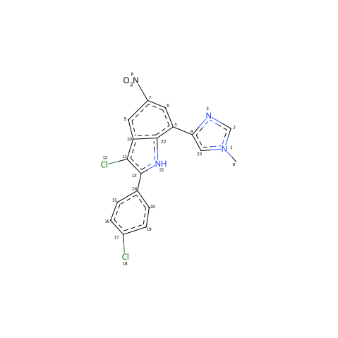 Cn1cnc(-c2cc([N+](=O)[O-])cc3c(Cl)c(-c4ccc(Cl)cc4)[nH]c23)c1